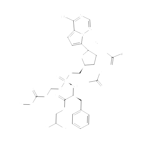 CCC(CC)COC(=O)[C@H](Cc1ccccc1)N[P@](=O)(OCOC(=O)OC(C)C)OC[C@H]1O[C@@](C#N)(c2ccc3c(N)ncnn23)[C@H](OC(=O)C(C)C)[C@@H]1OC(=O)C(C)C